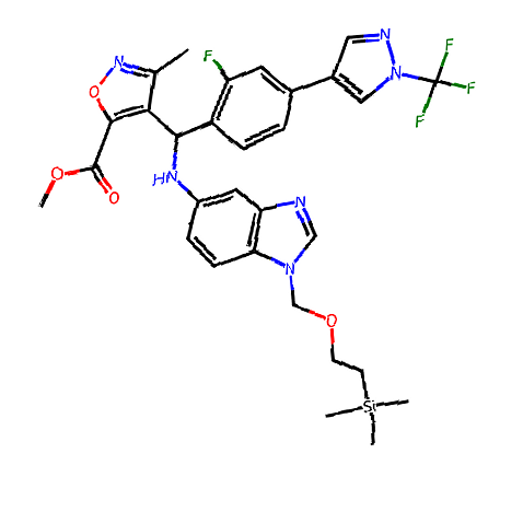 COC(=O)c1onc(C)c1C(Nc1ccc2c(c1)ncn2COCC[Si](C)(C)C)c1ccc(-c2cnn(C(F)(F)F)c2)cc1F